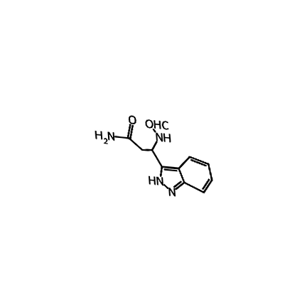 NC(=O)CC(NC=O)c1[nH]nc2ccccc12